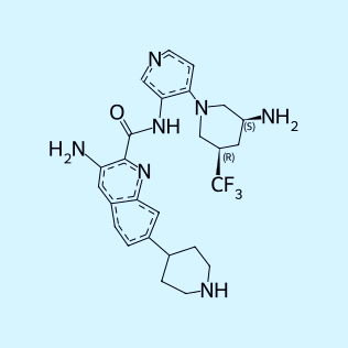 Nc1cc2ccc(C3CCNCC3)cc2nc1C(=O)Nc1cnccc1N1C[C@@H](N)C[C@@H](C(F)(F)F)C1